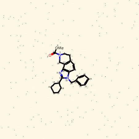 COC(=O)N1CCc2ccc3c(nc(C4CCCCC4)n3Cc3ccccc3)c2C1